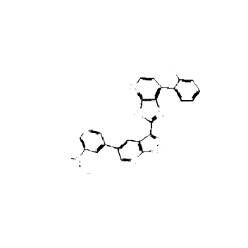 CN(C)c1cncc(-c2cnc3[nH]nc(-c4nc5c(-c6ccccc6F)ccnc5[nH]4)c3c2)c1